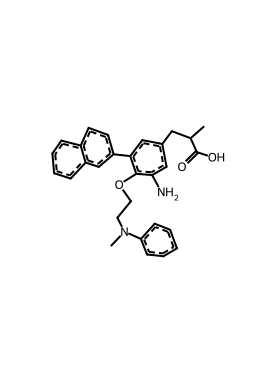 CC(Cc1cc(N)c(OCCN(C)c2ccccc2)c(-c2ccc3ccccc3c2)c1)C(=O)O